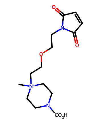 C[N+]1(CCOCCN2C(=O)C=CC2=O)CCN(C(=O)O)CC1